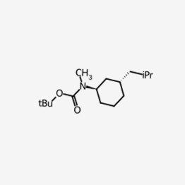 CC(C)C[C@@H]1CCC[C@@H](N(C)C(=O)OC(C)(C)C)C1